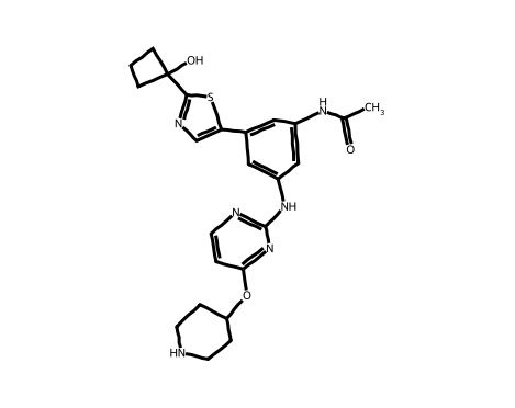 CC(=O)Nc1cc(Nc2nccc(OC3CCNCC3)n2)cc(-c2cnc(C3(O)CCC3)s2)c1